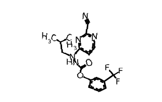 CC(C)CN(NC(=O)Oc1cccc(C(F)(F)F)c1)c1ccnc(C#N)n1